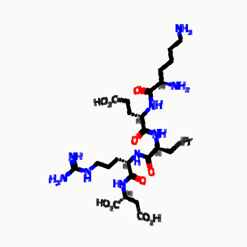 CC(C)C[C@H](NC(=O)[C@H](CCC(=O)O)NC(=O)[C@H](N)CCCCN)C(=O)N[C@@H](CCCNC(=N)N)C(=O)N[C@H](CC(=O)O)C(=O)O